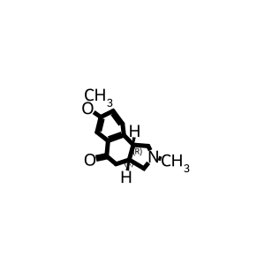 COc1ccc2c(c1)C(=O)C[C@H]1CN(C)C[C@@H]21